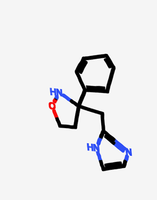 c1ccc(C2(Cc3ncc[nH]3)CCON2)cc1